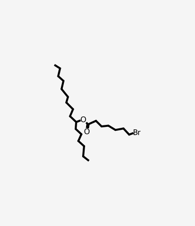 CCCCCCCCCC(CCCCCC)OC(=O)CCCCCCBr